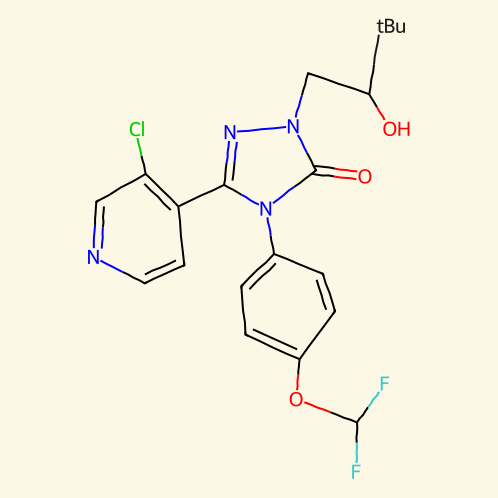 CC(C)(C)C(O)Cn1nc(-c2ccncc2Cl)n(-c2ccc(OC(F)F)cc2)c1=O